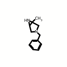 CC12CN(Cc3ccccc3)CC1N2